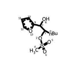 CCCCC(OS(C)(=O)=O)C(O)c1ccco1